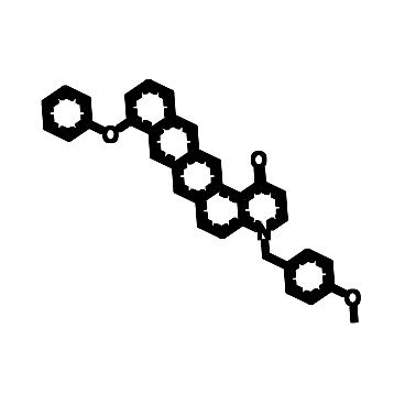 COc1ccc(Cn2ccc(=O)c3c4cc5cc6cccc(Oc7ccccc7)c6cc5cc4ccc32)cc1